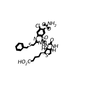 NS(=O)(=O)c1cc2c(cc1Cl)N=C(CSCc1ccccc1)NS2(=O)=O.O=C(O)CCCC[C@@H]1SC[C@@H]2NC(=O)N[C@@H]21